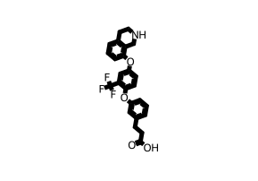 O=C(O)CCc1cccc(Oc2ccc(Oc3cccc4c3CNCC4)cc2C(F)(F)F)c1